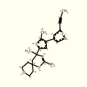 CC#Cc1cncc(-c2cc(C3(C)CC4(CCOCC4)OC(N)=N3)sc2C)c1